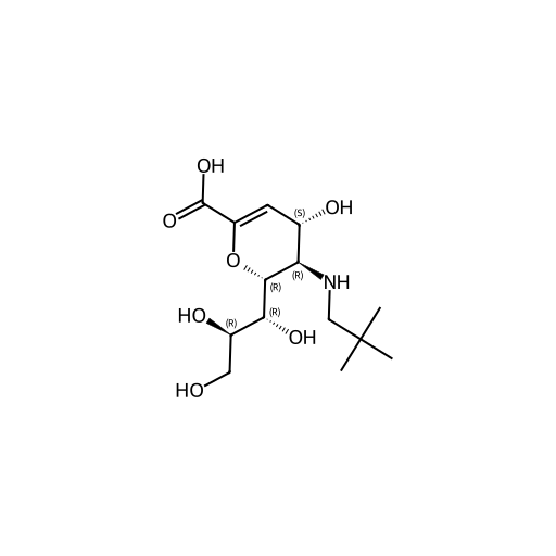 CC(C)(C)CN[C@H]1[C@H]([C@H](O)[C@H](O)CO)OC(C(=O)O)=C[C@@H]1O